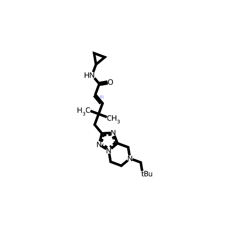 CC(C)(C)CN1CCn2nc(CC(C)(C)/C=C/C(=O)NC3CC3)nc2C1